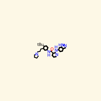 CC(C)(C)c1ccc(NC(=O)c2cccnc2Nc2ccc3cn[nH]c3c2)cc1CCCN1CCCC1